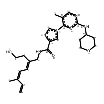 C=C/C(C)=C\C=C(/CCO)CNC(=O)c1cn(-c2nc(NC3CCOCC3)ncc2C)cn1